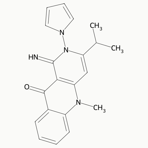 CC(C)c1cc2c(c(=O)c3ccccc3n2C)c(=N)n1-n1cccc1